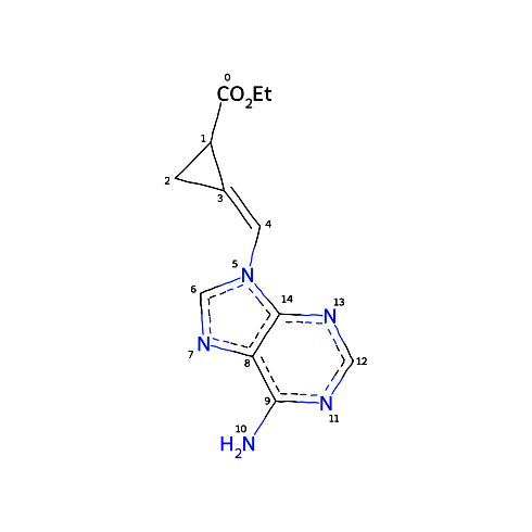 CCOC(=O)C1C/C1=C\n1cnc2c(N)ncnc21